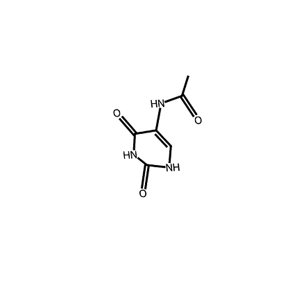 CC(=O)Nc1c[nH]c(=O)[nH]c1=O